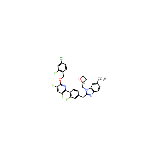 O=C(O)c1ccc2nc(Cc3ccc(-c4nc(OCc5ccc(Cl)cc5F)c(F)cc4F)c(F)c3)n(C[C@@H]3CCO3)c2c1